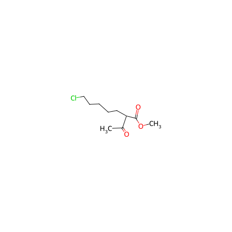 COC(=O)C(CCCCCCl)C(C)=O